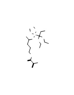 C=C(C)C(=O)OCCCC(C)O[Si](OC)(OC)C(CC)(OCC)OCC